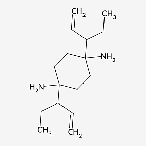 C=CC(CC)C1(N)CCC(N)(C(C=C)CC)CC1